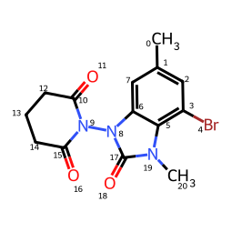 Cc1cc(Br)c2c(c1)n(N1C(=O)CCCC1=O)c(=O)n2C